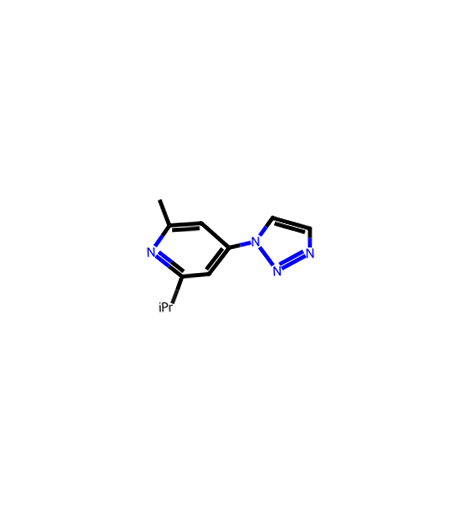 Cc1cc(-n2ccnn2)cc(C(C)C)n1